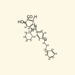 O=C(O)c1cc2nc(-c3ccc(OCCCc4ccccc4)cc3)n(C3CCCCC3)c2cc1O